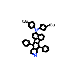 CC(C)(C)c1ccc(N(c2ccc(C(C)(C)C)cc2)c2ccc3c4c(cccc24)-c2c-3c(-c3ccccc3)c3ccncc3c2-c2ccccc2)cc1